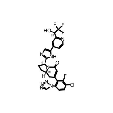 O=C1C=C(c2c(-n3cnnn3)ccc(Cl)c2F)C[C@H]2CC[C@@H](c3ncc(-c4ccnc([C@@H](O)C(F)(F)F)c4)[nH]3)N12